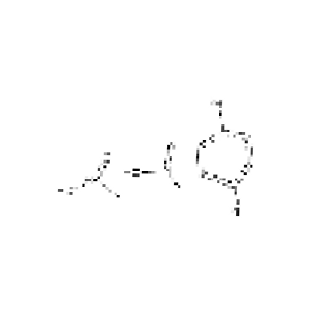 C[PH](=O)O.C[PH](=O)O.[2H]c1ccc([2H])cc1